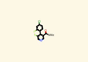 CNC(=O)c1cncc(F)c1-c1ccc(Cl)cc1F